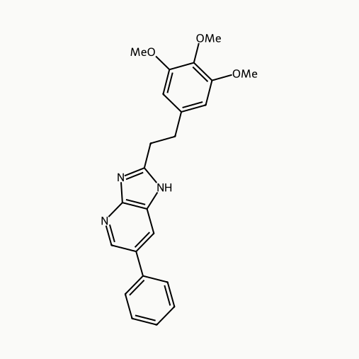 COc1cc(CCc2nc3ncc(-c4ccccc4)cc3[nH]2)cc(OC)c1OC